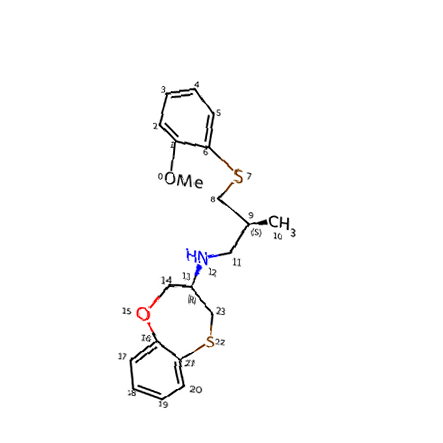 COc1ccccc1SC[C@@H](C)CN[C@@H]1COc2ccccc2SC1